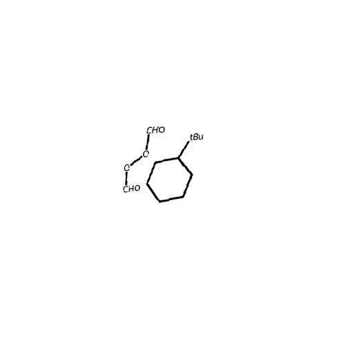 CC(C)(C)C1CCCCC1.O=COOC=O